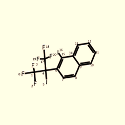 FC(F)(F)C(I)(c1ccc2ccccc2c1I)C(F)(F)F